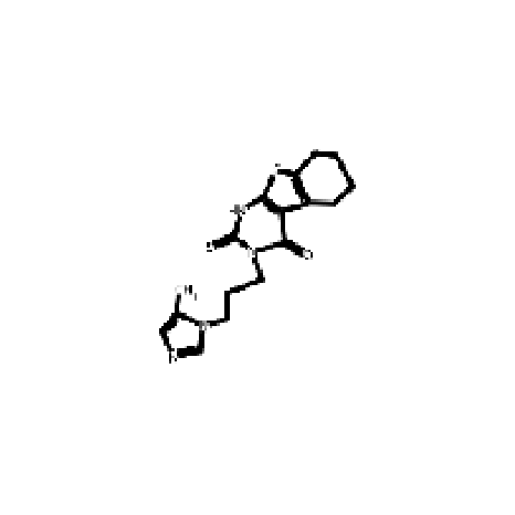 Cc1cncn1CCCn1c(=S)[nH]c2sc3c(c2c1=O)CCCC3